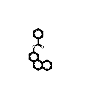 O=C(Oc1ccc2ccc3ccccc3c2c1)c1ccccc1